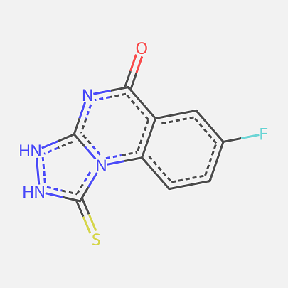 O=c1nc2[nH][nH]c(=S)n2c2ccc(F)cc12